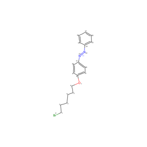 BrCCCCCCOc1ccc(/N=N/c2ccccc2)cc1